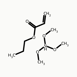 C=CC(=O)OCCC.CO[SiH](OC)OC